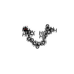 O=C(NC(c1ccccc1)c1cccc(OCc2ccc(C(=O)OCc3cccc(CCNC[C@@H](O)c4ccc(O)c5[nH]c(=O)ccc45)c3)cc2)c1)O[C@H]1CN2CCC1CC2